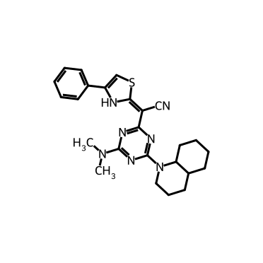 CN(C)c1nc(C(C#N)=C2NC(c3ccccc3)=CS2)nc(N2CCCC3CCCCC32)n1